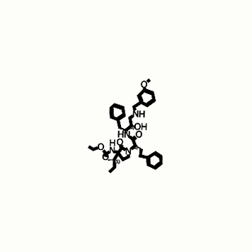 CCOC(=O)NC1([C@@H](C)CC)CCN([C@@H](CCc2ccccc2)C(=O)N[C@@H](Cc2ccccc2)[C@@H](O)CNCc2cccc(OC)c2)C1=O